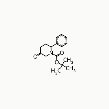 CC(C)(C)OC(=O)N1CC(=O)CCC1c1ccccc1